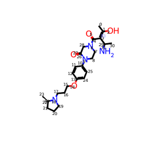 C/C(O)=C(\C(=O)N1CCN(c2ccc(OCCCN3CCC[C@H]3C)cc2)C(=O)C1)C(C)N